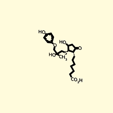 CC(O)(COc1ccc(O)cc1)CS[C@H]1C(O)CC(=O)[C@@H]1CCCCCCC(=O)O